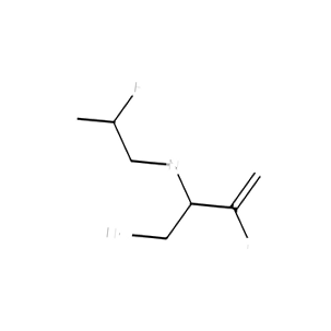 C=C(Cl)C(CO)NCC(F)F